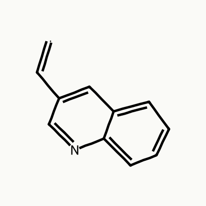 [CH]=Cc1cnc2ccccc2c1